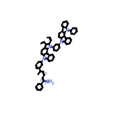 C=Cc1c(/C=C\C)n(-c2cccc(-n3c4ccccc4c4c3ccc3c5ccccc5n(-c5ccccc5)c34)c2)c2c1ccc1c2c2ccccc2n1-c1cccc(C(=C)/C=C\C=C(/N)c2ccccc2)c1